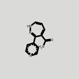 NC(=O)C1=[C]C=CNN=C1c1ccncc1